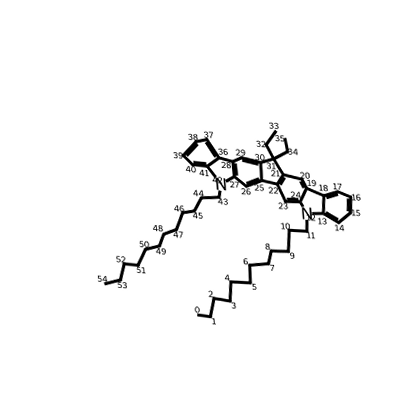 CCCCCCCCCCCCn1c2ccccc2c2cc3c(cc21)-c1cc2c(cc1C3(CC)CC)c1ccccc1n2CCCCCCCCCCCC